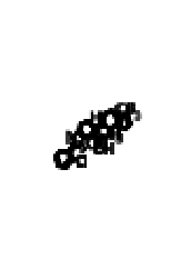 C[C@]12CC[C@H]3[C@@H](C[C@H](O)[C@@]4(O)c5sc(-c6ccccc6Cl)nc5CC[C@]34C)[C@@H]1CCC2=O